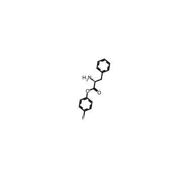 N[C@@H](Cc1ccccc1)C(=O)Oc1ccc(F)cc1